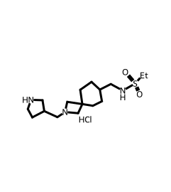 CCS(=O)(=O)NCC1CCC2(CC1)CN(CC1CCNC1)C2.Cl